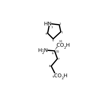 C1CCNC1.N[C@@H](CCC(=O)O)C(=O)O